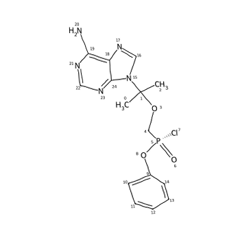 CC(C)(OC[P@](=O)(Cl)Oc1ccccc1)n1cnc2c(N)ncnc21